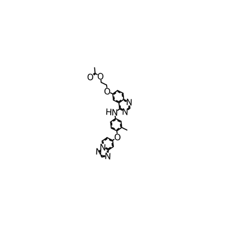 CC(=O)OCCOc1ccc2ncnc(Nc3ccc(Oc4ccn5ncnc5c4)c(C)c3)c2c1